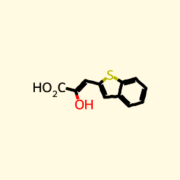 O=C(O)/C(O)=C/c1cc2ccccc2s1